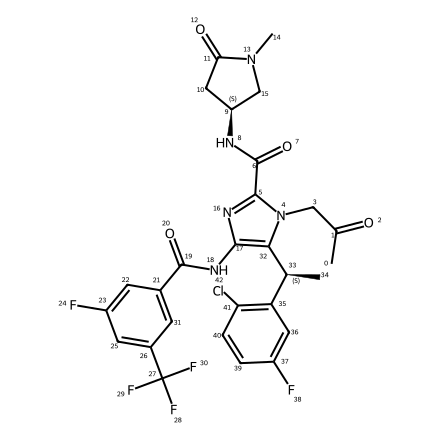 CC(=O)Cn1c(C(=O)N[C@H]2CC(=O)N(C)C2)nc(NC(=O)c2cc(F)cc(C(F)(F)F)c2)c1[C@@H](C)c1cc(F)ccc1Cl